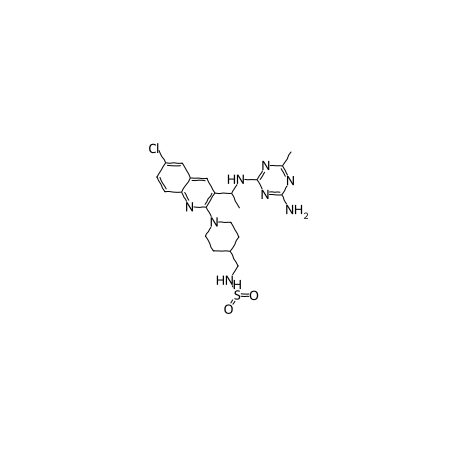 Cc1nc(N)nc(NC(C)c2cc3cc(Cl)ccc3nc2N2CCC(CN[SH](=O)=O)CC2)n1